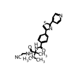 CN(C)C(C)(NC(=O)c1ccc(-c2csc(-c3ccncc3)n2)cc1)C(=O)NCC#N